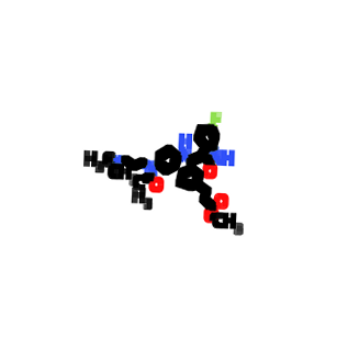 COC(=O)CCc1cccc(C(Nc2ccc(N(CCCN(C)C)C(C)=O)cc2)=C2C(=O)Nc3cc(F)ccc32)c1